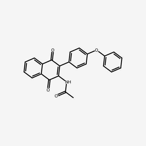 CC(=O)NC1=C(c2ccc(Oc3ccccc3)cc2)C(=O)c2ccccc2C1=O